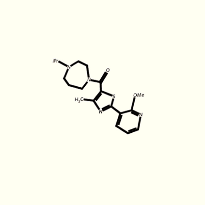 COc1ncccc1-c1nc(C)c(C(=O)N2CCCN(C(C)C)CC2)s1